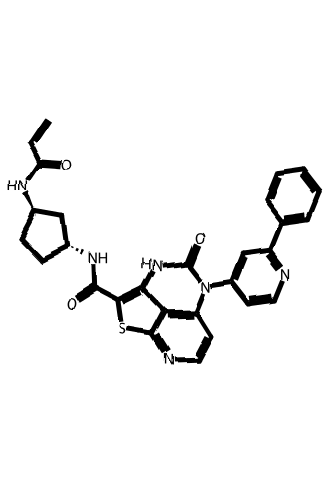 C=CC(=O)N[C@@H]1CC[C@@H](NC(=O)c2sc3nccc4c3c2NC(=O)N4c2ccnc(-c3ccccc3)c2)C1